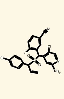 C=CC(c1ccc(Cl)cc1)S(=O)(=O)C(c1cc(C#N)ccc1F)c1cc(N)ncc1Cl